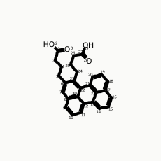 O=C(O)CCCc1cc2cccc3c4cccc5cccc(c(c1CCCC(=O)O)c23)c54